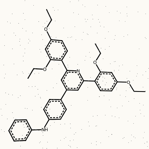 CCOc1ccc(-c2cc(-c3ccc(Nc4ccccc4)cc3)cc(-c3ccc(OCC)cc3OCC)n2)c(OCC)c1